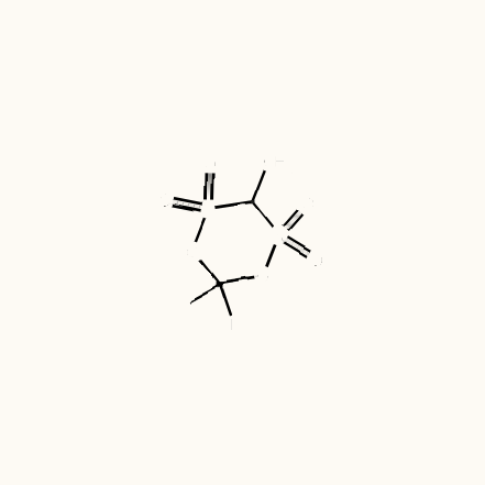 CC1S(=O)(=O)OC(F)(F)OS1(=O)=O